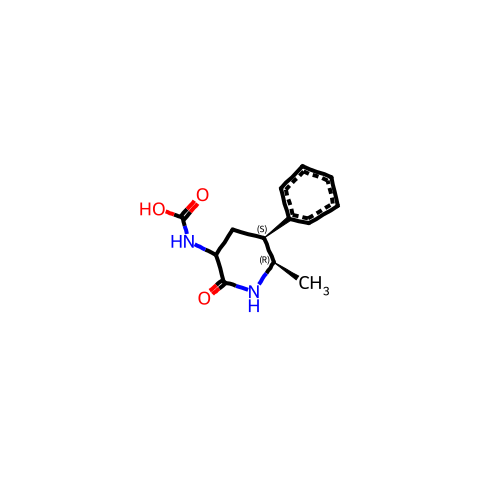 C[C@H]1NC(=O)C(NC(=O)O)C[C@H]1c1ccccc1